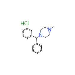 CN1CCN(C(c2ccccc2)c2ccccc2)CC1.Cl